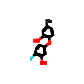 CC(C)(C)c1ccc(Oc2ccc(F)c(O)c2)c(O)c1